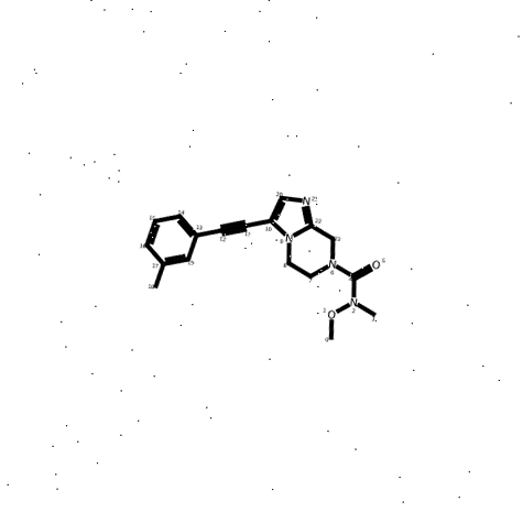 CON(C)C(=O)N1CCn2c(C#Cc3cccc(C)c3)cnc2C1